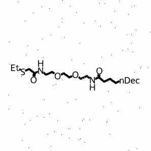 CCCCCCCCCCCCCC(=O)NCCOCCOCCNC(=O)CSCC